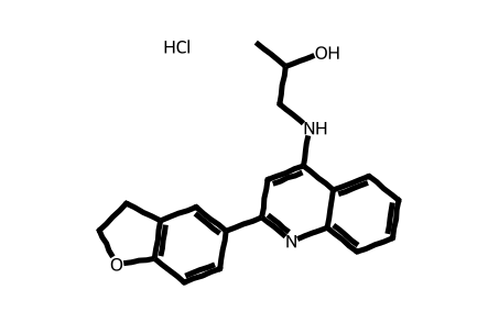 CC(O)CNc1cc(-c2ccc3c(c2)CCO3)nc2ccccc12.Cl